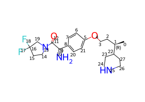 C[C@H](CCOc1ccc([C@H](N)C(=O)N2CCC(F)(F)C2)cc1)C1CCNCC1